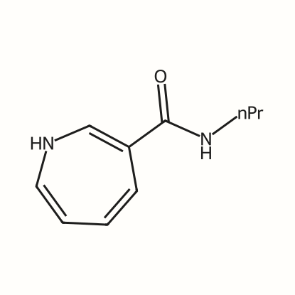 CCCNC(=O)C1=CNC=CC=C1